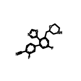 N#Cc1ccc(-c2cc(F)cc(CC3CNCCO3)c2-c2cncs2)cc1F